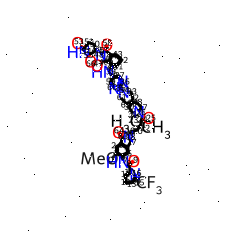 COc1cc2c(cc1NC(=O)c1cccc(C(F)(F)F)n1)CN(CCC(C)(C)C(=O)N1CCC3(CC1)CCN(c1ncc(Nc4cccc5c4C(=O)N(C4CCC(=O)NC4=O)C5=O)cn1)CC3)C2=O